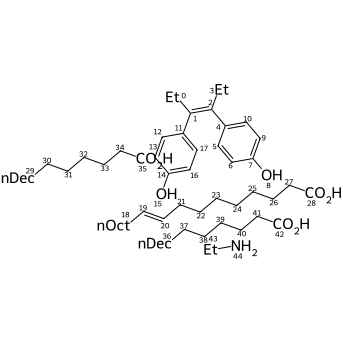 CCC(=C(CC)c1ccc(O)cc1)c1ccc(O)cc1.CCCCCCCCC=CCCCCCCCC(=O)O.CCCCCCCCCCCCCCCC(=O)O.CCCCCCCCCCCCCCCC(=O)O.CCN